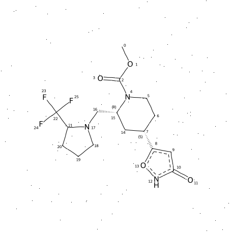 COC(=O)N1CC[C@H](c2cc(=O)[nH]o2)C[C@@H]1CN1CCCC1C(F)(F)F